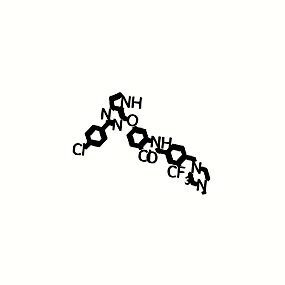 CN1CCN(Cc2ccc(C(=O)Nc3cc(Oc4nc(-c5ccc(Cl)cc5)nc5cc[nH]c45)ccc3Cl)cc2C(F)(F)F)CC1